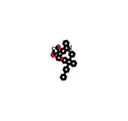 c1ccc(-c2ccc(-c3c4ccccc4c(-c4cccc(-c5nc6ccccc6c6cc7c(cc56)-c5ccccc5C75c6ccccc6Sc6ccccc65)c4)c4ccccc34)cc2)cc1